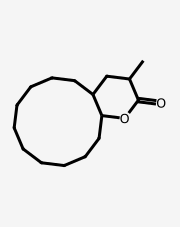 CC1CC2CCCCCCCCCCC2OC1=O